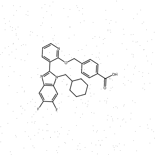 O=C(O)c1ccc(COc2ncccc2-c2nc3cc(F)c(F)cc3n2CC2CCCCC2)cc1